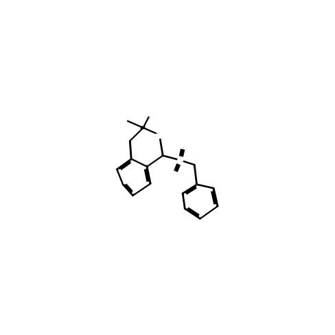 CC1(C)Cc2ccccc2C(S(=O)(=O)Cc2ccccc2)N1